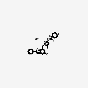 Cc1cc(NC(=O)C2(F)CCNCC2)nn1Cc1cc(Cl)cc2cc(-c3ccccc3)oc12.Cl